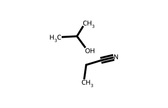 CC(C)O.CCC#N